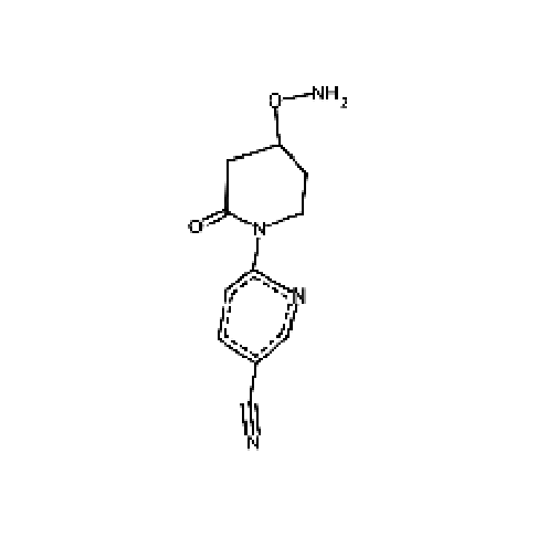 N#Cc1ccc(N2CCC(ON)CC2=O)nc1